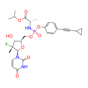 CC(C)OC(=O)[C@H](C)NP(=O)(OC[C@H]1O[C@@H](n2ccc(=O)[nH]c2=O)[C@](C)(F)[C@@H]1O)Oc1ccc(C#CC2CC2)cc1